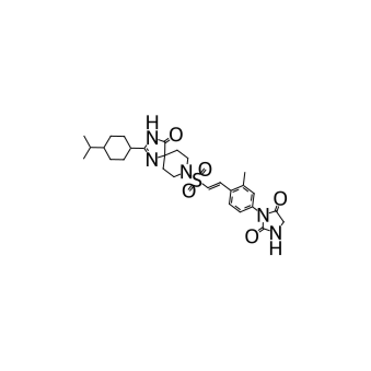 Cc1cc(N2C(=O)CNC2=O)ccc1C=CS(=O)(=O)N1CCC2(CC1)N=C(C1CCC(C(C)C)CC1)NC2=O